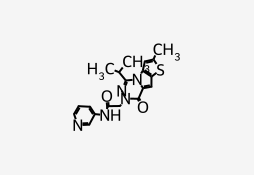 Cc1cc2c(cc3c(=O)n(CC(=O)Nc4cccnc4)nc(C(C)C)n32)s1